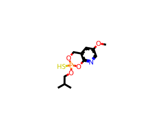 COc1cnc2c(c1)CO[P](S)(OCC(C)C)O2